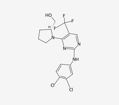 OC[C@H]1CCCN1c1nc(Nc2ccc(Cl)c(Cl)c2)ncc1C(F)(F)F